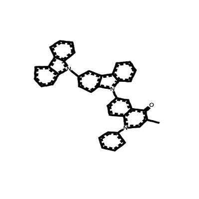 Cc1cn(-c2ccccc2)c2ccc(-n3c4ccccc4c4cc(-n5c6ccccc6c6ccccc65)ccc43)cc2c1=O